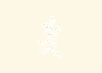 CCCN(CCC)C(=O)c1cc(C)cc(C(=O)N[C@@H](Cc2cc(F)cc(F)c2)[C@H](O)CNCC(C)c2ccccc2)c1